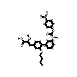 CCCCOc1cc(/C=C(\OC)C(=O)O)ccc1-c1cccc(N(C)C(=O)Oc2ccc([N+](=O)[O-])cc2)c1